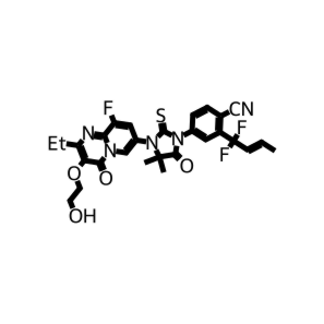 C/C=C/C(F)(F)c1cc(N2C(=O)C(C)(C)N(c3cc(F)c4nc(CC)c(OCCO)c(=O)n4c3)C2=S)ccc1C#N